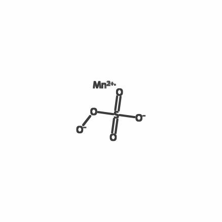 O=S(=O)([O-])O[O-].[Mn+2]